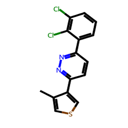 Cc1cscc1-c1ccc(-c2cccc(Cl)c2Cl)nn1